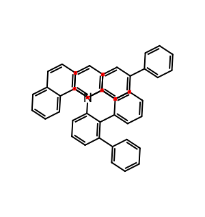 c1ccc(-c2ccc(N(c3cccc(-c4ccccc4)c3-c3ccccc3-c3ccccc3)c3cccc4ccccc34)cc2)cc1